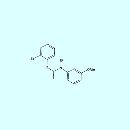 CCc1ccccc1OC(C)N(CC)c1cccc(OC)c1